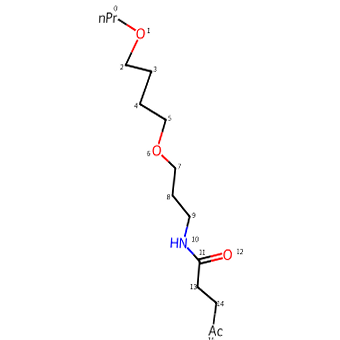 CCCOCCCCOCCCNC(=O)CCC(C)=O